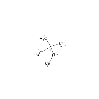 CC(C)(C)[O][Ce]